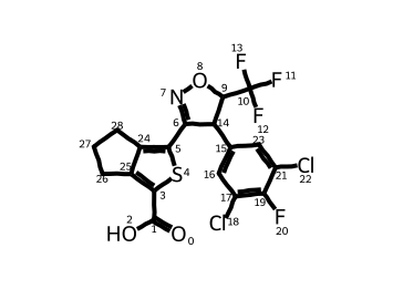 O=C(O)c1sc(C2=NOC(C(F)(F)F)C2c2cc(Cl)c(F)c(Cl)c2)c2c1CCC2